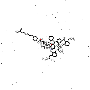 CCc1cccc(C)c1Nc1ccc2c(-c3ccccc3S(=O)(=O)NS(=O)(=O)C(F)(F)C(F)(F)C(F)(F)S(=O)(=O)Oc3ccc(CCSCCCC(=O)O)cc3)c3cc/c(=N/c4c(CC(C)C)cccc4CC(C)C)cc-3oc2c1